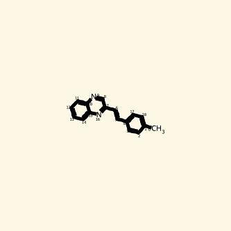 Cc1ccc(C=Cc2cnc3ccccc3n2)cc1